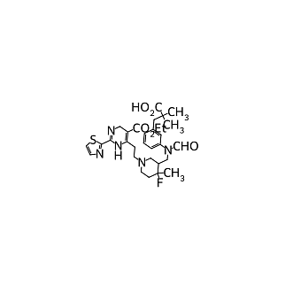 CCOC(=O)C1=C(CCN2CCC(C)(F)C(CN(C=O)c3cccc(CC(C)(C)C(=O)O)c3)C2)NC(c2nccs2)=NC1